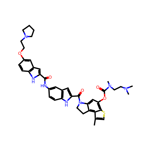 Cc1csc2c(OC(=O)N(C)CCN(C)C)cc3c(c12)CCN3C(=O)c1cc2cc(NC(=O)c3cc4cc(OCCN5CCCC5)ccc4[nH]3)ccc2[nH]1